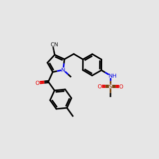 Cc1ccc(C(=O)c2cc(C#N)c(Cc3ccc(NS(C)(=O)=O)cc3)n2C)cc1